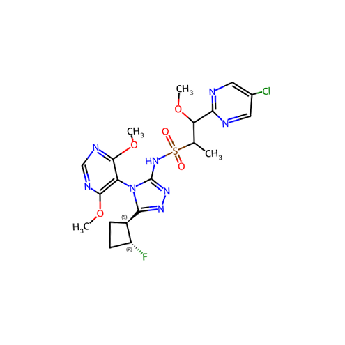 COc1ncnc(OC)c1-n1c(NS(=O)(=O)C(C)C(OC)c2ncc(Cl)cn2)nnc1[C@@H]1CC[C@H]1F